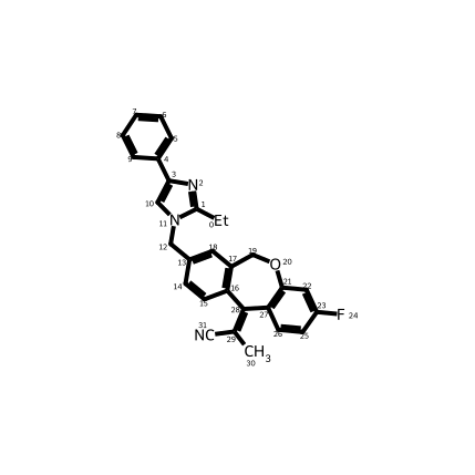 CCc1nc(-c2ccccc2)cn1Cc1ccc2c(c1)COc1cc(F)ccc1/C2=C(\C)C#N